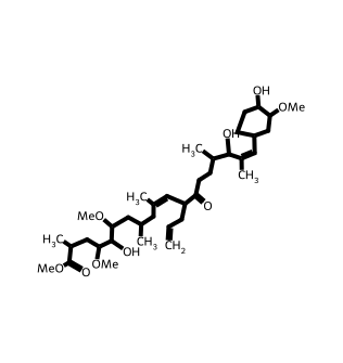 C=CCC(C=C(C)CC(C)CC(OC)C(O)C(CC(C)C(=O)OC)OC)C(=O)CCC(C)C(O)C(C)=CC1CCC(O)C(OC)C1